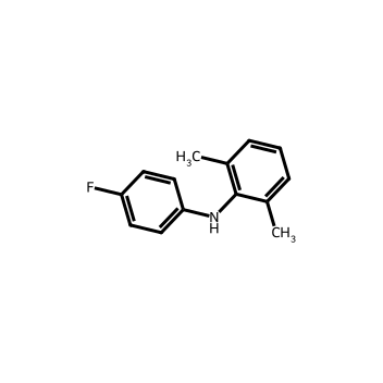 Cc1cccc(C)c1Nc1ccc(F)cc1